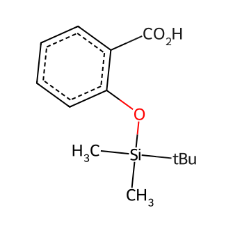 CC(C)(C)[Si](C)(C)Oc1ccccc1C(=O)O